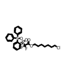 O=C(OCCCCCCCCl)C(F)(F)S(=O)(=O)OS(c1ccccc1)(c1ccccc1)c1ccccc1